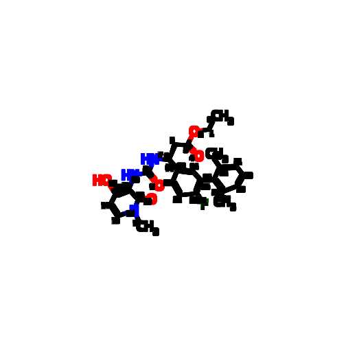 CCOC(=O)C[C@H](NC(=O)Nc1c(O)ccn(C)c1=O)c1ccc(F)c(-c2c(C)cccc2C)c1